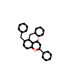 O=c1cc(-c2ccccc2)oc2ccc(Cc3ccccc3)c(Cc3ccccc3)c12